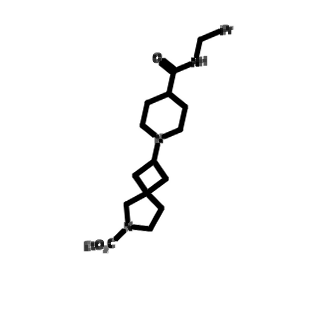 CCOC(=O)N1CCC2(CC(N3CCC(C(=O)NCC(C)C)CC3)C2)C1